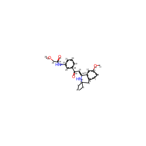 CCC1(CC)Cc2ccc(OC)cc2C(=CC(=O)c2cccc(NC(=O)COC)c2)N1